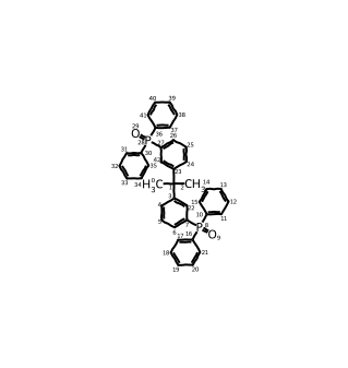 CC(C)(c1cccc(P(=O)(c2ccccc2)c2ccccc2)c1)c1cccc(P(=O)(c2ccccc2)c2ccccc2)c1